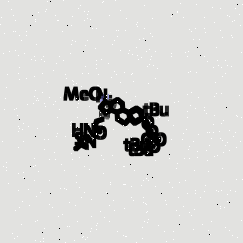 CO/N=C1\C[C@@H](CCC(=O)Nc2ncc(C)s2)C2C3CCc4cc(OCOP(=O)(OC(C)(C)C)OC(C)(C)C)c(C(C)(C)C)cc4C3CC[C@]12C